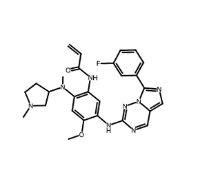 C=CC(=O)Nc1cc(Nc2ncc3cnc(-c4cccc(F)c4)n3n2)c(OC)cc1N(C)C1CCN(C)C1